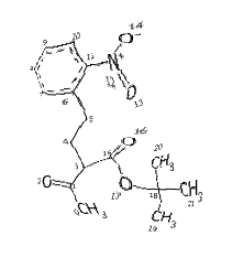 CC(=O)C(CCc1ccccc1[N+](=O)[O-])C(=O)OC(C)(C)C